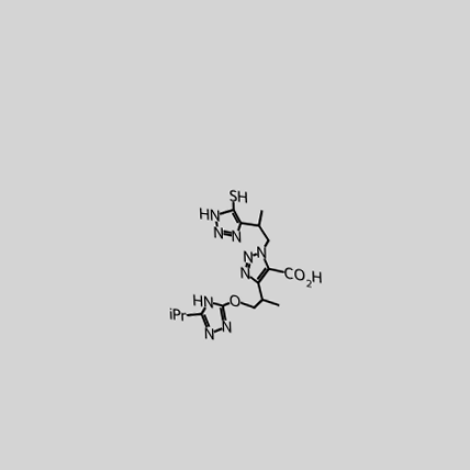 CC(C)c1nnc(OCC(C)c2nnn(CC(C)c3nn[nH]c3S)c2C(=O)O)[nH]1